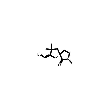 CC/C=C1/C[C@@]2(CCN(C)C2=O)CC1(C)C